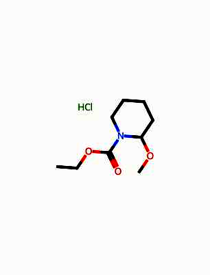 CCOC(=O)N1CCCCC1OC.Cl